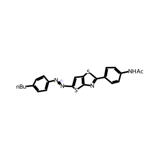 CCCCc1ccc(/N=N/c2cc3sc(-c4ccc(NC(C)=O)cc4)nc3s2)cc1